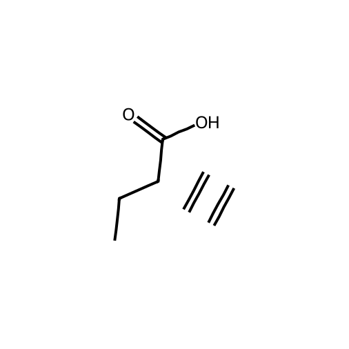 C=C.C=C.CCCC(=O)O